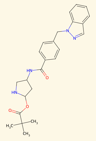 CC(C)(C)C(=O)OC1CC(NC(=O)c2ccc(Cn3ncc4ccccc43)cc2)CN1